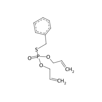 C=CCOP(=O)(OCC=C)SCc1ccccc1